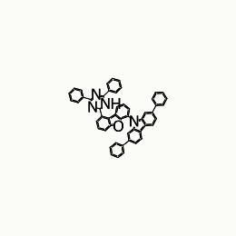 c1ccc(C2=NC(c3cccc4oc5c(-n6c7cc(-c8ccccc8)ccc7c7ccc(-c8ccccc8)cc76)cccc5c34)NC(c3ccccc3)=N2)cc1